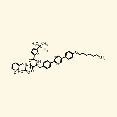 CCCCCCCOc1ccc(-c2cnc(-c3ccc(C[C@H](NC(=O)c4ccc(C(C)(C)C)s4)C(=O)N[C@@H](CC4=CC=CNC4)C(=O)O)cc3)nc2)cc1